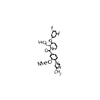 COc1cc(C(=O)N2CC=C[C@H](Oc3cc(F)cc(F)c3)C2CO)ccc1-n1cnc(C)c1